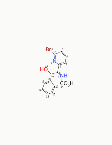 O=C(O)N[C@H](c1cccc(Br)n1)[C@H](O)c1ccccc1